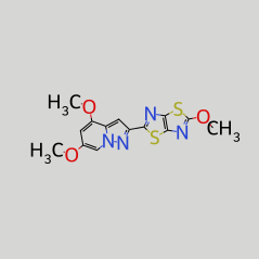 COc1cc(OC)c2cc(-c3nc4sc(OC)nc4s3)nn2c1